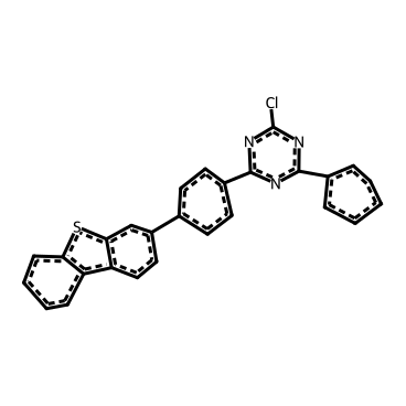 Clc1nc(-c2ccccc2)nc(-c2ccc(-c3ccc4c(c3)sc3ccccc34)cc2)n1